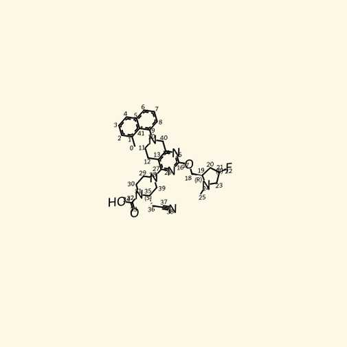 Cc1cccc2cccc(N3CCc4c(nc(OC[C@H]5C[C@@H](F)CN5C)nc4N4CCN(C(=O)O)[C@@H](CC#N)C4)C3)c12